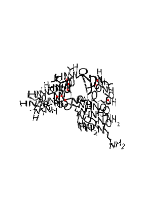 CSCC[C@H](NC(=O)[C@H](Cc1c[nH]cn1)NC(=O)[C@H](CCCCN)NC(=O)[C@H](CCSC)NC(=O)[C@H](CC(N)=O)NC(=O)[C@@H](NC(=O)[C@@H](N)CCCCN)[C@@H](C)O)C(=O)N[C@@H](C)C(=O)NCC(=O)N[C@@H](C)C(=O)N[C@@H](C)C(=O)N[C@@H](C)C(=O)N[C@@H](C)C(=O)NCC(=O)N[C@@H](C)C(=O)N[C@H](C(=O)N[C@H](C(=O)NCC(=O)NCC(=O)N[C@@H](CC(C)C)C(=O)NCC(=O)O)C(C)C)C(C)C